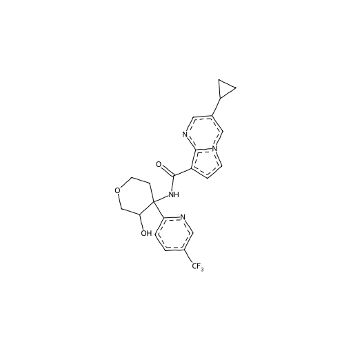 O=C(NC1(c2ccc(C(F)(F)F)cn2)CCOCC1O)c1ccn2cc(C3CC3)cnc12